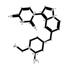 CC(C)CN1CC[C@@H](Cc2ccn3ncc(-n4ccc(=O)[nH]c4=O)c3c2)C[C@H]1C